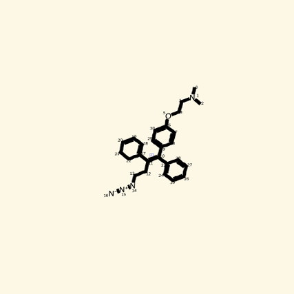 CN(C)CCOc1ccc(/C(=C(/CCN=[N+]=[N-])C2=CC=CCC2)c2ccccc2)cc1